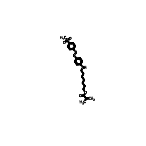 C=C(C)C(=O)OCCCCCCCNc1ccc(N=Nc2ccc(S(C)(=O)=O)cc2)cc1